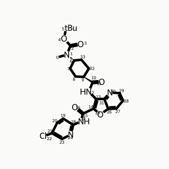 CN(C(=O)OC(C)(C)C)[C@H]1CC[C@H](C(=O)Nc2c(C(=O)Nc3ccc(Cl)cn3)oc3cccnc23)CC1